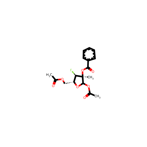 CC(=O)OC[C@H]1OC(OC(C)=O)[C@](C)(OC(=O)c2ccccc2)[C@@H]1F